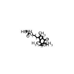 CC1=C(CCCOC(=O)NO)C2=C(C)C3(CC3)[C@@](C)(O)C(=O)C2=C1